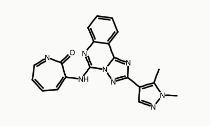 Cc1c(-c2nc3c4ccccc4nc(Nc4ccccnc4=O)n3n2)cnn1C